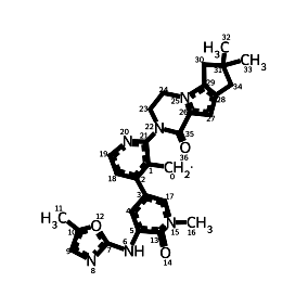 [CH2]c1c(-c2cc(Nc3ncc(C)o3)c(=O)n(C)c2)ccnc1N1CCn2c(cc3c2CC(C)(C)C3)C1=O